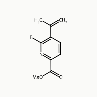 C=C(C)c1ccc(C(=O)OC)nc1F